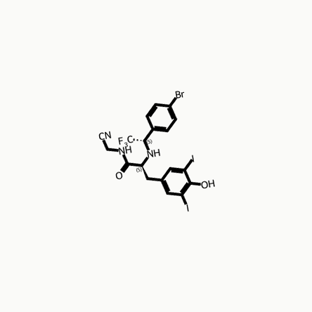 N#CCNC(=O)[C@H](Cc1cc(I)c(O)c(I)c1)N[C@@H](c1ccc(Br)cc1)C(F)(F)F